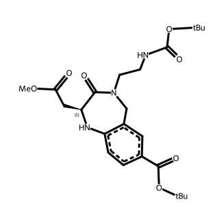 COC(=O)C[C@@H]1Nc2ccc(C(=O)OC(C)(C)C)cc2CN(CCNC(=O)OC(C)(C)C)C1=O